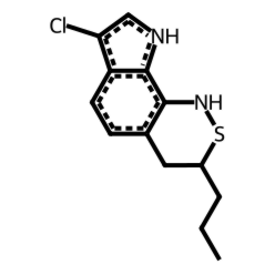 CCCC1Cc2ccc3c(Cl)c[nH]c3c2NS1